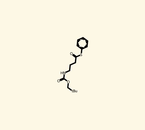 CC(C)(C)COC(=O)NCCCC(=O)Sc1ccccc1